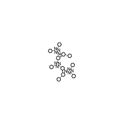 c1ccc(-c2ccc3c(c2)c2cc(-c4nc(-c5ccccc5)nc(-c5ccc6c(c5)c5cc(-c7ccccc7)ccc5n6-c5nc(-c6ccccc6)nc(-c6ccccc6)n5)n4)ccc2n3-c2nc(-c3ccccc3)nc(-c3ccccc3)n2)cc1